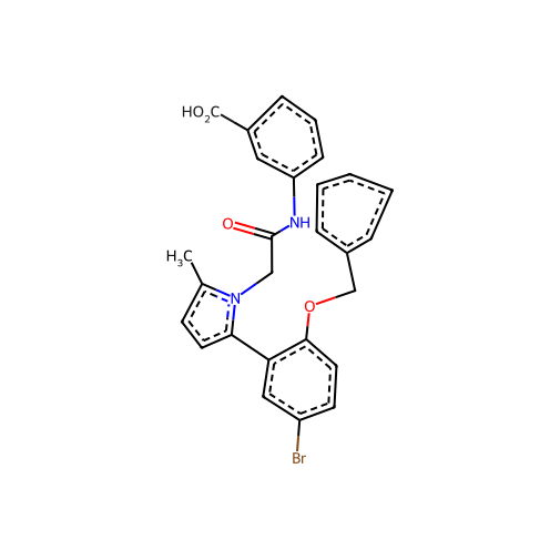 Cc1ccc(-c2cc(Br)ccc2OCc2ccccc2)n1CC(=O)Nc1cccc(C(=O)O)c1